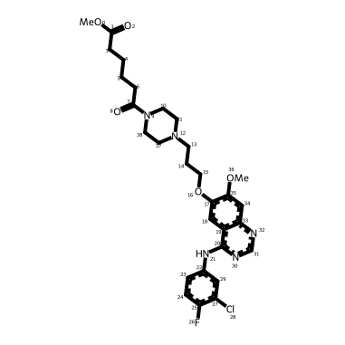 COC(=O)CCCCC(=O)N1CCN(CCCOc2cc3c(Nc4ccc(F)c(Cl)c4)ncnc3cc2OC)CC1